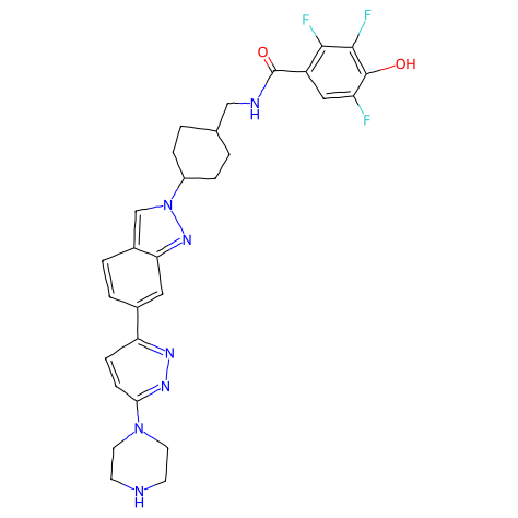 O=C(NCC1CCC(n2cc3ccc(-c4ccc(N5CCNCC5)nn4)cc3n2)CC1)c1cc(F)c(O)c(F)c1F